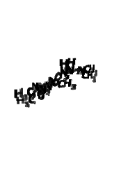 CCC(C)C(N)C(=O)N1CCN(c2cc(C)c3cc(NC(=S)NCCN(CC)CC)ccc3n2)CC1